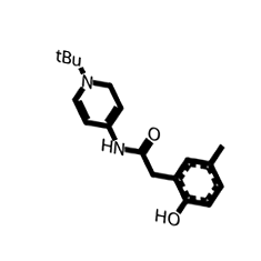 Cc1ccc(O)c(CC(=O)NC2=CCN(C(C)(C)C)C=C2)c1